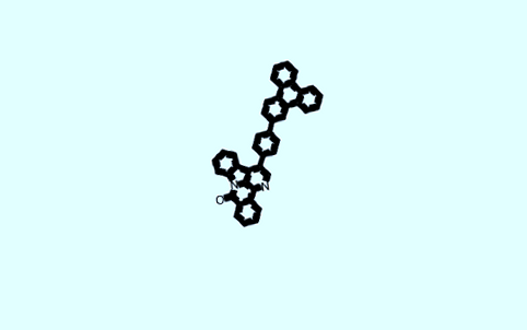 O=c1c2ccccc2c2ncc(-c3ccc(-c4ccc5c6ccccc6c6ccccc6c5c4)cc3)c3c4ccccc4n1c23